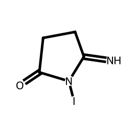 N=C1CCC(=O)N1I